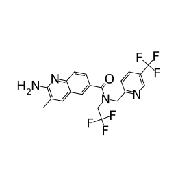 Cc1cc2cc(C(=O)N(Cc3ccc(C(F)(F)F)cn3)CC(F)(F)F)ccc2nc1N